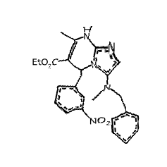 CCOC(=O)C1=C(C)Nc2ncc(N(C)Cc3ccccc3)n2C1c1cccc([N+](=O)[O-])c1